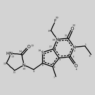 CCn1c(=O)c2c(C)c(CN3CCNC3=O)sc2n(CF)c1=O